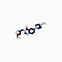 Cc1cc(Cn2cnc3ccc(N4CC5CC4CN5C)cc3c2=O)no1